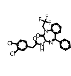 O=C(Cc1ccc(Cl)c(Cl)c1)N[C@@H]1N=C(c2ccccc2)c2ccccc2N(CC(F)(F)F)C1=O